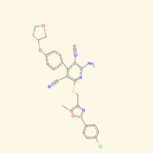 [C-]#[N+]c1c(N)nc(SCc2nc(-c3ccc(Cl)cc3)oc2C)c(C#N)c1-c1ccc(OC2CCOC2)cc1